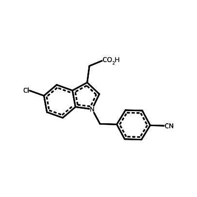 N#Cc1ccc(Cn2cc(CC(=O)O)c3cc(Cl)ccc32)cc1